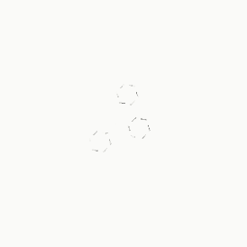 O=CC(c1ccccc1)C(c1ccc(O)cc1)c1ccc(O)cc1